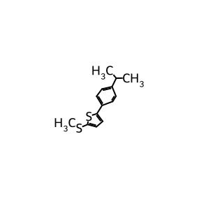 CSc1ccc(-c2ccc(C(C)C)cc2)s1